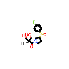 CC(CO)(CO)C(=O)N1CCC([S+]([O-])c2ccc(F)cc2)C1